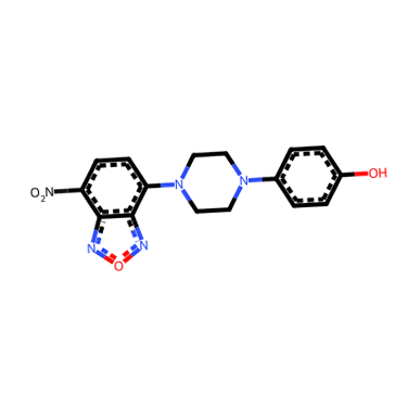 O=[N+]([O-])c1ccc(N2CCN(c3ccc(O)cc3)CC2)c2nonc12